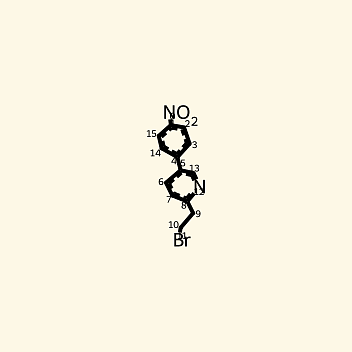 O=[N+]([O-])c1ccc(-c2ccc(CCBr)nc2)cc1